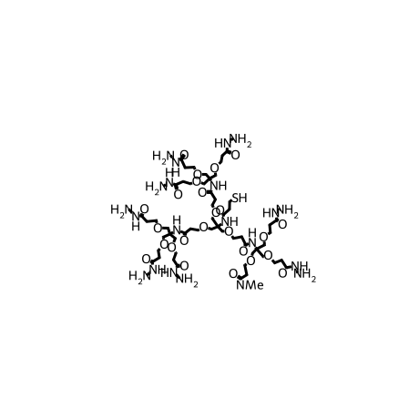 CNC(=O)CCOCC(COCCC(=O)NN)(COCCC(=O)NN)NC(=O)CCOCC(COCCC(=O)NC(COCCC(=O)NN)(COCCC(=O)NN)COCCC(=O)NN)(COCCC(=O)NC(COCCC(=O)NN)(COCCC(=O)NN)COCCC(=O)NN)NC(=O)CCS